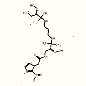 CCC(=NO)C(C)(C)NCCONC(C)(C)C(CNC(=O)Cn1ccnc1[N+](=O)[O-])=NO